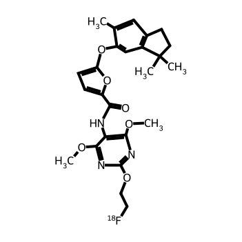 COc1nc(OCC[18F])nc(OC)c1NC(=O)c1ccc(Oc2cc3c(cc2C)CCC3(C)C)o1